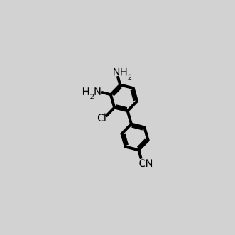 N#Cc1ccc(-c2ccc(N)c(N)c2Cl)cc1